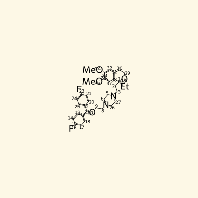 CCC1(CCN2CCN(CCOC(c3ccc(F)cc3)c3ccc(F)cc3)CC2)OCCc2cc(OC)c(OC)cc21